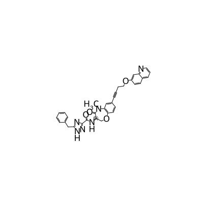 CN1C(=O)[C@H](NC(=O)c2n[nH]c(Cc3ccccc3)n2)COc2ccc(C#CCCOc3ccc4cccnc4c3)cc21